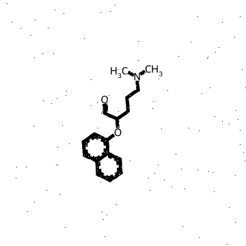 CN(C)CCCC([C]=O)Oc1cccc2ccccc12